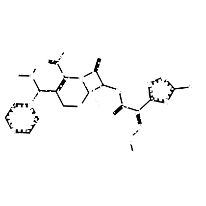 CO/N=C(\C(=O)NC1C(=O)N2C(C(=O)[O-])=C(C(N(C)C)[n+]3ccncc3)CS[C@H]12)c1nsc(N)n1